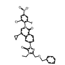 CCn1c(COCc2ccccc2)nn(-c2ccc3c(=O)n(-c4c(F)cc([N+](=O)[O-])cc4Cl)cc(C4CC4)c3c2)c1=O